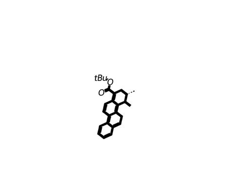 CC1c2c3c(ccc2=C(C(=O)OC(C)(C)C)C[C@@H]1C)=c1ccccc1=CC3